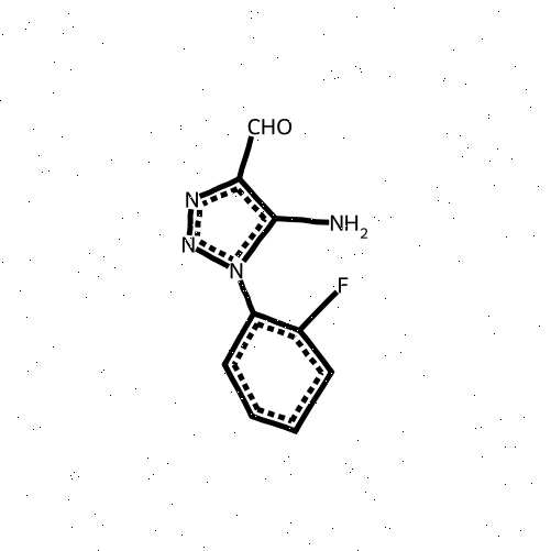 Nc1c(C=O)nnn1-c1ccccc1F